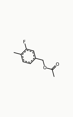 CC(=O)OCc1ccc(C)c(F)c1